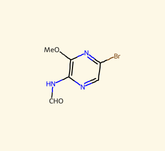 COc1nc(Br)cnc1NC=O